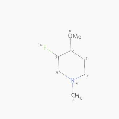 COC1CCN(C)CC1F